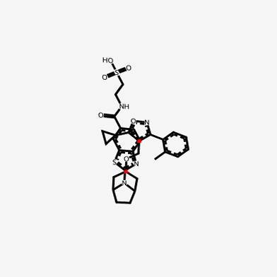 Cc1ccccc1-c1noc(C2CC2)c1COC1CC2CCC(C1)N2c1nc2ccc(C(=O)NCCS(=O)(=O)O)cc2s1